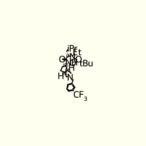 CCN(C(=O)OC(C)(C)C)[C@@H](CC(C)C)C(=O)N[C@H]1CC[C@@H]2CN(Cc3cccc(C(F)(F)F)c3)C[C@@H]21